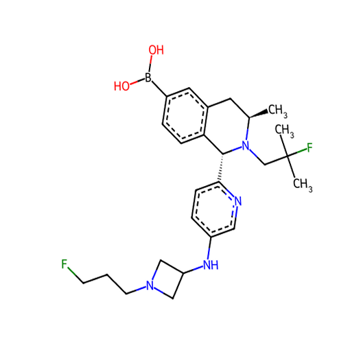 C[C@@H]1Cc2cc(B(O)O)ccc2[C@@H](c2ccc(NC3CN(CCCF)C3)cn2)N1CC(C)(C)F